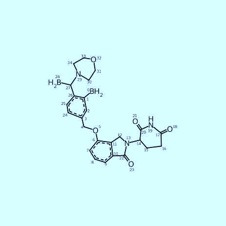 Bc1cc(COc2cccc3c2CN(C2CCC(=O)NC2=O)C3=O)ccc1C(B)N1CCOCC1